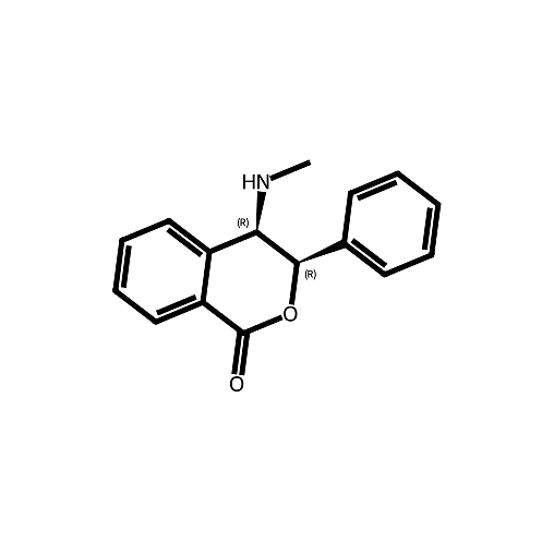 CN[C@@H]1c2ccccc2C(=O)O[C@@H]1c1ccccc1